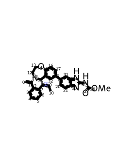 C=C(c1ccccc1/C=C\C)N1CCOc2ccc(-c3ccc4nc(NC(=O)OC)[nH]c4c3)cc2C1